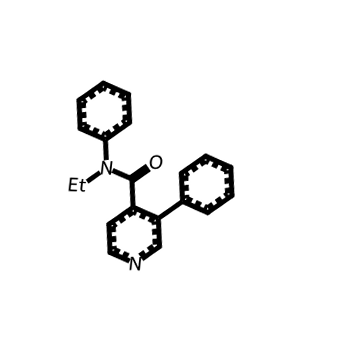 CCN(C(=O)c1ccncc1-c1ccccc1)c1ccccc1